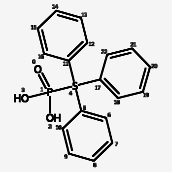 O=P(O)(O)S(c1ccccc1)(c1ccccc1)c1ccccc1